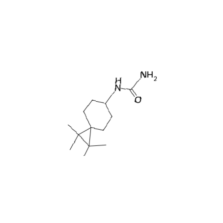 CC1(C)C(C)(C)C12CCC(NC(N)=O)CC2